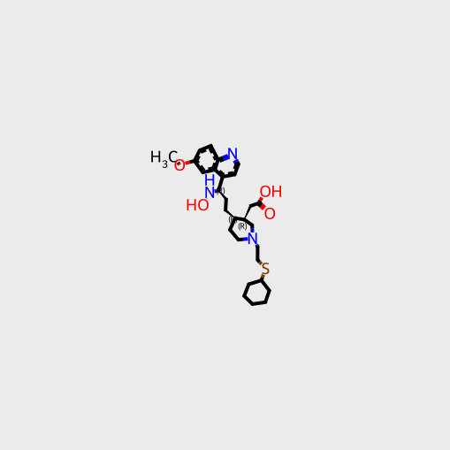 COc1ccc2nccc([C@@H](CC[C@@H]3CCN(CCSC4CCCCC4)C[C@@H]3CC(=O)O)NO)c2c1